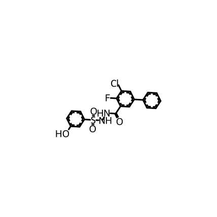 O=C(NNS(=O)(=O)c1cccc(O)c1)c1cc(-c2ccccc2)cc(Cl)c1F